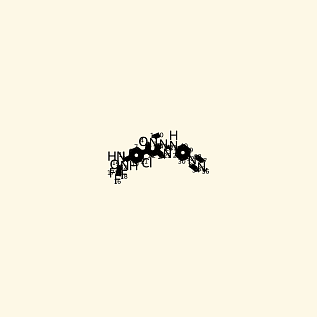 CCn1c(=O)c(-c2ccc(C(=N)NC(=O)C(F)(F)F)cc2Cl)cc2cnc(Nc3ccc(N4CCN(C)CC4)cc3)nc21